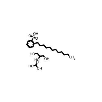 CCCCCCCCCCCCc1ccccc1S(=O)(=O)O.O=C(O)O.OCC(O)CO